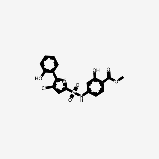 COC(=O)c1ccc(NS(=O)(=O)c2cc(Cl)c(-c3ccccc3O)s2)cc1O